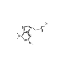 C[C@H](CCO)C[C@@H](C)n1cnc2c(N(C)C)nc(N)nc21